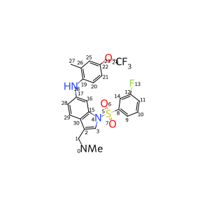 CNCc1cn(S(=O)(=O)c2cccc(F)c2)c2cc(Nc3ccc(OC(F)(F)F)cc3C)ccc12